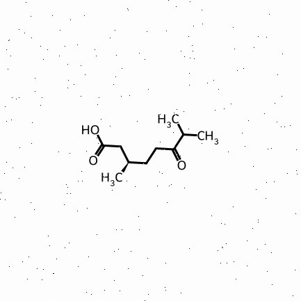 CC(C)C(=O)CC[C@@H](C)CC(=O)O